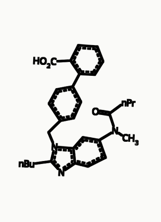 CCCCc1nc2ccc(N(C)C(=O)CCC)cc2n1Cc1ccc(-c2ccccc2C(=O)O)cc1